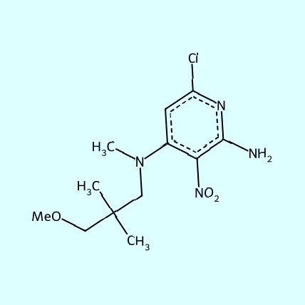 COCC(C)(C)CN(C)c1cc(Cl)nc(N)c1[N+](=O)[O-]